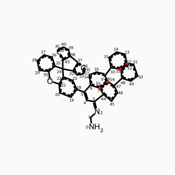 NC/N=C(\C=C(/c1ccc(-c2ccccc2)cc1)c1ccc2c(c1)C1(c3ccccc3O2)c2ccccc2-c2ccccc21)c1ccc(-c2ccccc2)cc1